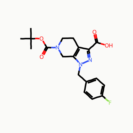 CC(C)(C)OC(=O)N1CCc2c(C(=O)O)nn(Cc3ccc(F)cc3)c2C1